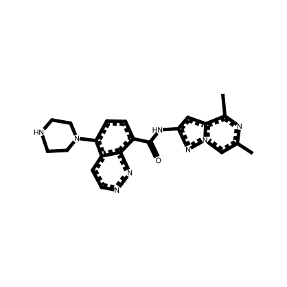 Cc1cn2nc(NC(=O)c3ccc(N4CCNCC4)c4ccnnc34)cc2c(C)n1